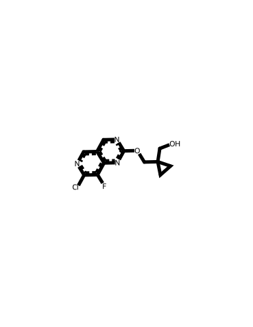 OCC1(COc2ncc3cnc(Cl)c(F)c3n2)CC1